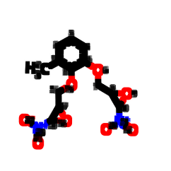 Cc1cccc(OCC2OC2[N+](=O)[O-])c1OCC1OC1[N+](=O)[O-]